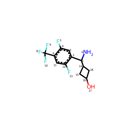 NC(c1cc(F)c(C(F)(F)F)cc1F)C1CC(O)C1